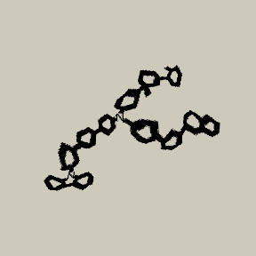 CC1CC=CC=C1C1=CC(C)(c2cccc(N(c3ccc(-c4ccc(-c5cccc(-n6c7ccccc7c7ccccc76)c5)cc4)cc3)c3ccc(-c4cccc(-c5ccc6ccccc6c5)c4)cc3)c2)CC=C1